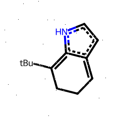 CC(C)(C)C1=c2[nH]ccc2=CCC1